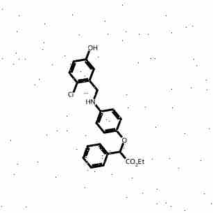 CCOC(=O)C(Oc1ccc(NCc2cc(O)ccc2Cl)cc1)c1ccccc1